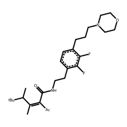 CC(=O)/C(C(=O)NCCc1ccc(CCCN2CCOCC2)c(F)c1F)=C(\C)C(C)C(C)(C)C